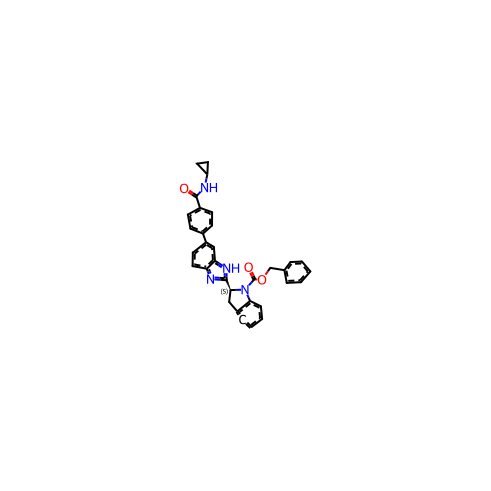 O=C(NC1CC1)c1ccc(-c2ccc3nc([C@@H]4Cc5ccccc5N4C(=O)OCc4ccccc4)[nH]c3c2)cc1